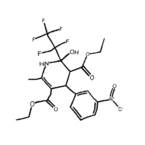 CCOC(=O)C1=C(C)NC(O)(C(F)(F)C(F)(F)F)C(C(=O)OCC)C1c1cccc([N+](=O)[O-])c1